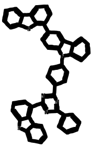 c1ccc(-c2nc(-c3ccc(-n4c5ccccc5c5cc(-c6cccc7c6sc6ccccc67)ccc54)cc3)nc(-c3cccc4sc5ccccc5c34)n2)cc1